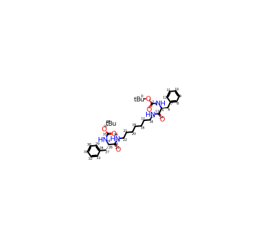 CC(C)(C)OC(=O)N[C@@H](Cc1ccccc1)C(=O)NCCCCCCCNC(=O)[C@H](Cc1ccccc1)NC(=O)OC(C)(C)C